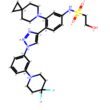 O=S(=O)(CCO)Nc1ccc(-c2cn(-c3cccc(N4CCC(F)(F)CC4)c3)nn2)c(N2CCC3(CC2)CC3)c1